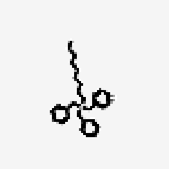 CCCCCCCCC[N+](Cc1ccccc1)(Cc1ccccc1)Cc1ccccc1.[Cl-]